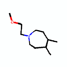 COCCN1CCC(C)C(C)CC1